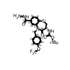 CC(C)(C)OC(=O)N[C@H]1CSc2ccc(C(=O)NN)cc2N(Cc2ccc(OC(F)(F)F)cc2)C1=O